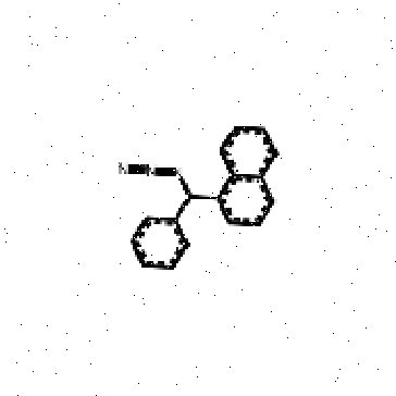 [N-]=[N+]=NC(c1ccccc1)c1cccc2ccccc12